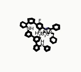 CN/C(=C\C(c1ccccc1)N(C)C[C@@H]1CC=CCC1)c1cc(F)c(-c2cccc(C3CCC=CC3Nc3cccc(-c4cccc(-c5ccccc5Nc5ccccc5)c4)c3)c2)cc1F